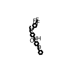 CCN(Cc1ccc(NC(=O)c2ccc(OCc3ccccc3)cc2)cc1)Cc1ccc(C(F)(F)F)cc1